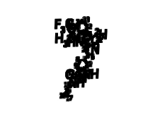 [2H]COc1ncc(-c2ccc3c(C(=O)NCC4CC4)n[nH]c3c2)cc1C(=O)NC(C)c1ccccc1OC(F)(F)F